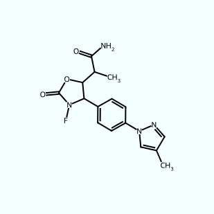 Cc1cnn(-c2ccc(C3C(C(C)C(N)=O)OC(=O)N3F)cc2)c1